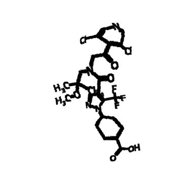 COC(C)(C)CN(CC(=O)c1c(Cl)cncc1Cl)C(=O)c1cnn(C2CCC(C(=O)O)CC2)c1C(F)(F)F